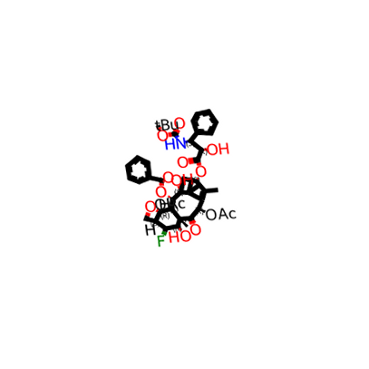 CC(=O)O[C@H]1C(=O)[C@@]2(C)[C@H]([C@H](OC(=O)c3ccccc3)[C@]3(O)C[C@H](OC(=O)[C@H](O)[C@@H](NC(=O)OC(C)(C)C)c4ccccc4)C(C)=C1C3(C)C)[C@]1(OC(C)=O)OC[C@@H]1C(F)[C@@H]2O